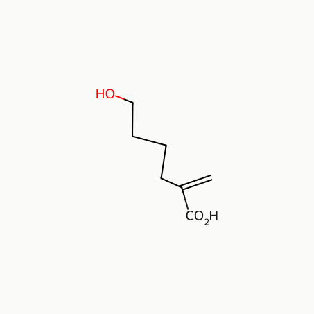 C=C(CCCCO)C(=O)O